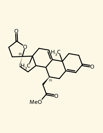 COC(=O)C[C@@H]1CC2=CC(=O)CCC2(C)C2=CCC3(C)C(CC[C@@]34CCC(=O)O4)C21